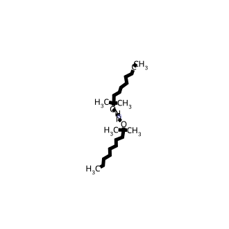 CCCCCCCCC(C)(C)O/N=N/OC(C)(C)CCCCCCCC